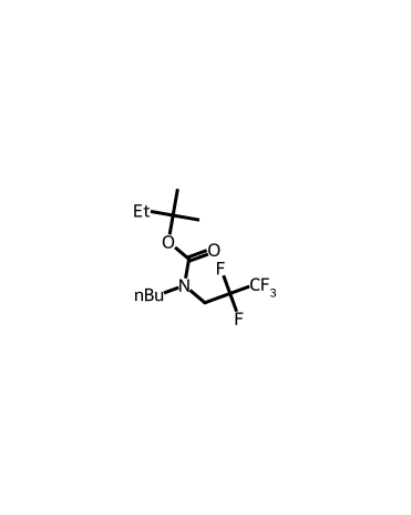 CCCCN(CC(F)(F)C(F)(F)F)C(=O)OC(C)(C)CC